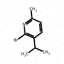 Cc1ccc(C(C)C)c(Br)n1